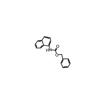 O=C(Nc1cc[c]c2ccccc12)OCc1ccccc1